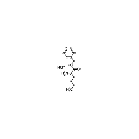 CCCCC(N)C(=O)OCc1ccccc1.Cl